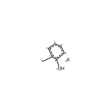 Cc1ccccc1O.[K]